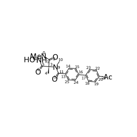 CNC(=O)[C@@](C)(C(=O)NO)N(C)C(=O)c1ccc(-c2ccc(C(C)=O)cc2)cc1